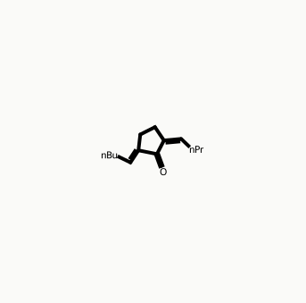 CCCC=C1CCC(=CCCCC)C1=O